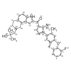 Cc1cc(Oc2c(F)cccc2F)ncc1-n1ncc(C(=O)c2cc3c4c(ccc3[nH]2)CCN(CC(C)(C)O)C4)c1N